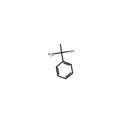 BC(C)(CCC)c1ccccc1